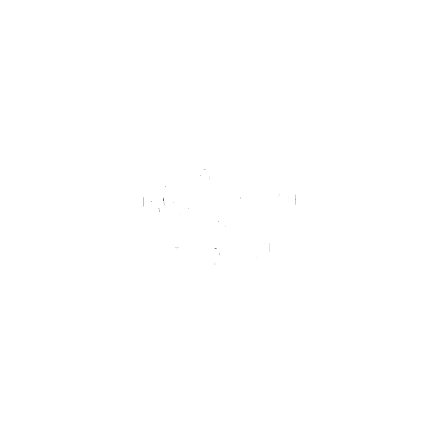 CC(Cl)OC(=O)C(C)(Cl)Cl